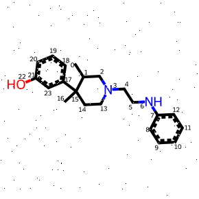 CC1CN(CCNc2ccccc2)CCC1(C)c1cccc(O)c1